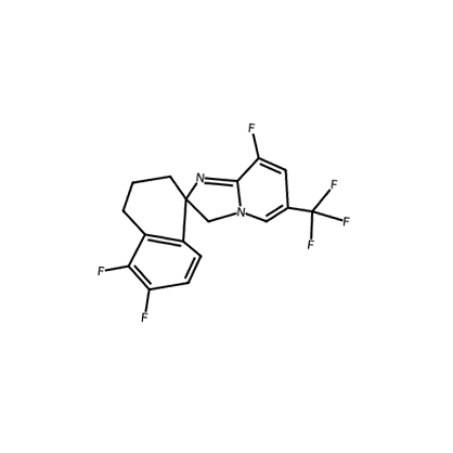 FC1=CC(C(F)(F)F)=CN2CC3(CCCc4c3ccc(F)c4F)N=C12